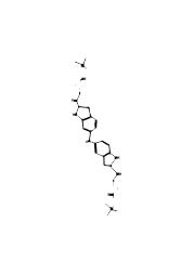 CC(C)(C)OC(=O)NCC(=O)C1C(=O)c2ccc(C(=O)c3ccc4c(c3)C(=O)C(C(=O)CNC(=O)OC(C)(C)C)C4=O)cc2C1=O